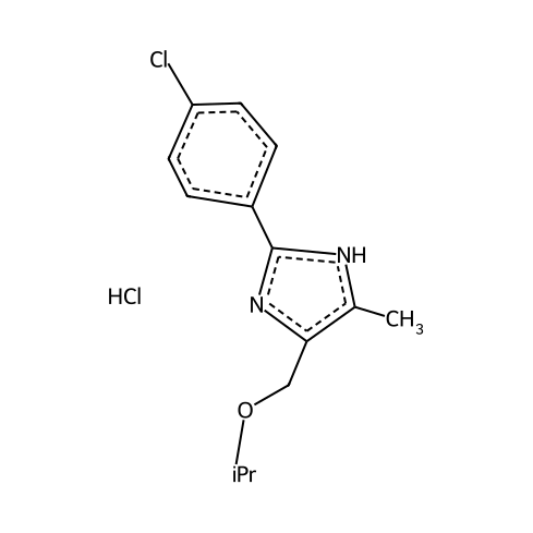 Cc1[nH]c(-c2ccc(Cl)cc2)nc1COC(C)C.Cl